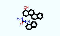 NC(=O)Nc1cccc2ccccc12.OC1CCCc2c1ccc1c2ccc2ccccc21